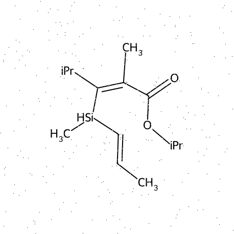 CC=C[SiH](C)C(=C(C)C(=O)OC(C)C)C(C)C